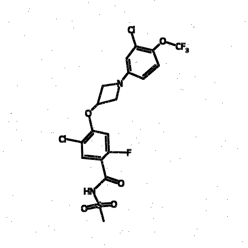 CS(=O)(=O)NC(=O)c1cc(Cl)c(OC2CN(c3ccc(OC(F)(F)F)c(Cl)c3)C2)cc1F